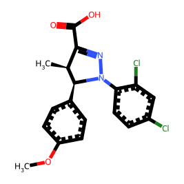 COc1ccc([C@H]2[C@@H](C)C(C(=O)O)=NN2c2ccc(Cl)cc2Cl)cc1